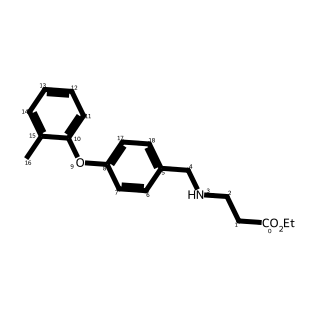 CCOC(=O)CCNCc1ccc(Oc2ccccc2C)cc1